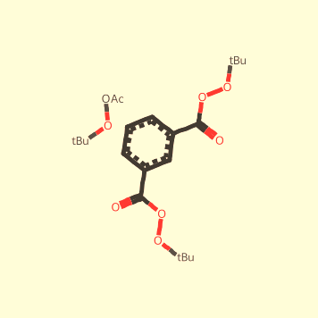 CC(=O)OOC(C)(C)C.CC(C)(C)OOC(=O)c1cccc(C(=O)OOC(C)(C)C)c1